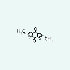 CCc1cc2c(s1)C(=O)c1sc(CC)cc1C2=O